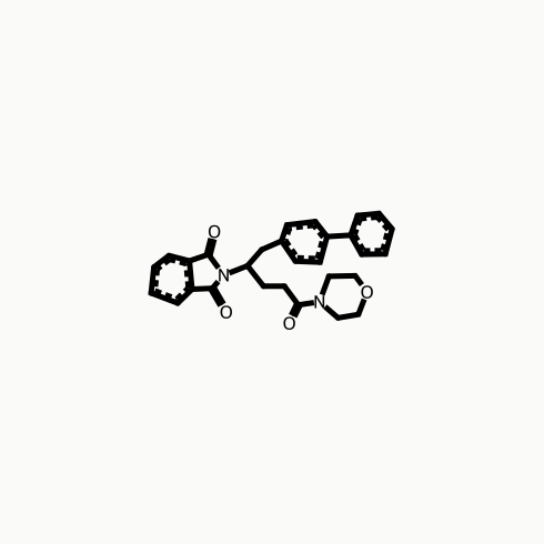 O=C(CCC(Cc1ccc(-c2ccccc2)cc1)N1C(=O)c2ccccc2C1=O)N1CCOCC1